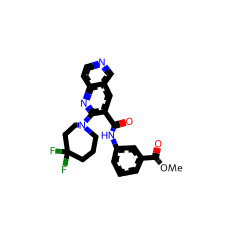 COC(=O)c1cccc(NC(=O)c2cc3cnccc3nc2N2CCCC(F)(F)CC2)c1